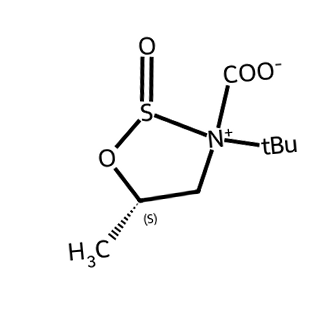 C[C@H]1C[N+](C(=O)[O-])(C(C)(C)C)S(=O)O1